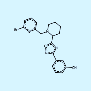 N#Cc1cccc(-c2noc(C3CCCCN3Cc3cccc(Br)n3)n2)c1